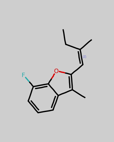 CC/C(C)=C\c1oc2c(F)cccc2c1C